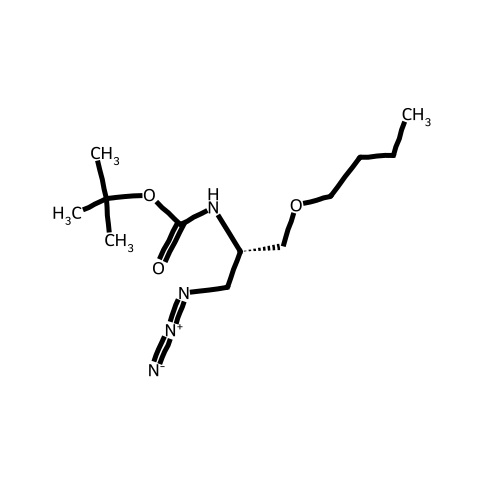 CCCCOC[C@H](CN=[N+]=[N-])NC(=O)OC(C)(C)C